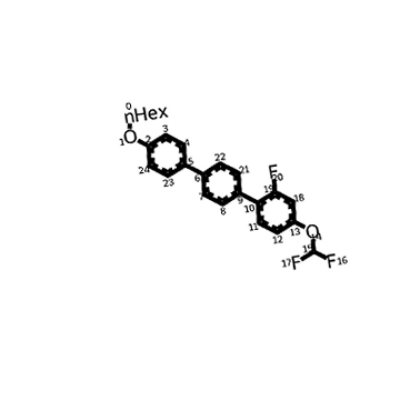 CCCCCCOc1ccc(-c2ccc(-c3ccc(OC(F)F)cc3F)cc2)cc1